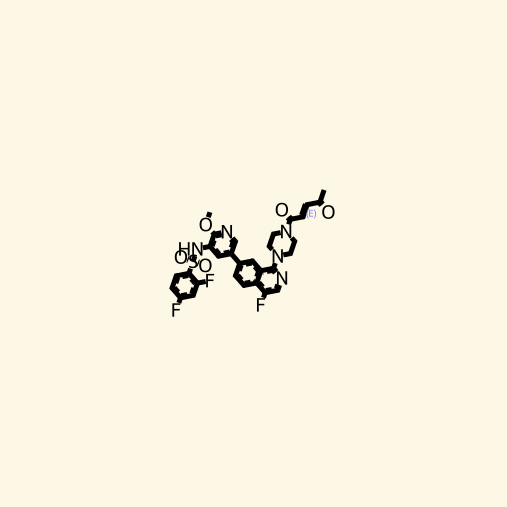 COc1ncc(-c2ccc3c(F)cnc(N4CCN(C(=O)/C=C/C(C)=O)CC4)c3c2)cc1NS(=O)(=O)c1ccc(F)cc1F